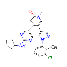 Cn1cc(-c2cnn(-c3cccc(Cl)c3C#N)c2)c(-c2cnc(NC3CCCC3)nc2)cc1=O